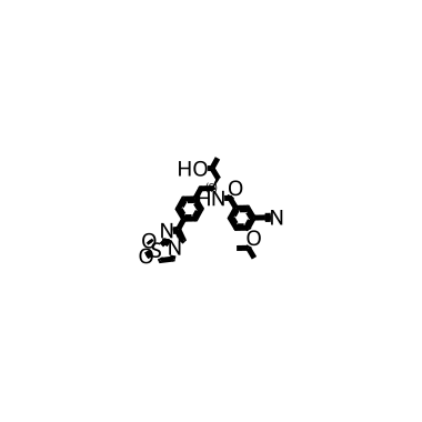 CC(O)C[C@H](Cc1ccc(-c2cn3c(n2)S(=O)(=O)CC3)cc1)NC(=O)c1ccc(OC(C)C)c(C#N)c1